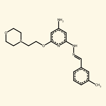 Cc1cccc(/C=N/Nc2cc(N)cc(OCCN3CCOCC3)n2)c1